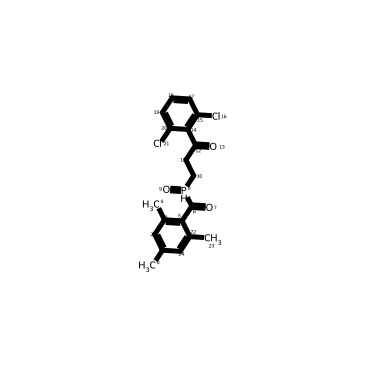 Cc1cc(C)c(C(=O)[PH](=O)CCC(=O)c2c(Cl)cccc2Cl)c(C)c1